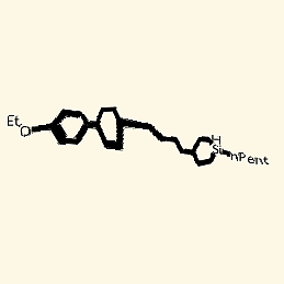 CCCCC[SiH]1CCC(CCCCC2CCC(c3ccc(OCC)cc3)CC2)CC1